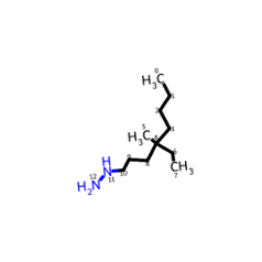 CCCCC(C)(CC)CCCNN